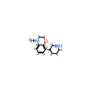 [2H]N1CCOc2c([C@@H]3CCCNC3)cccc21